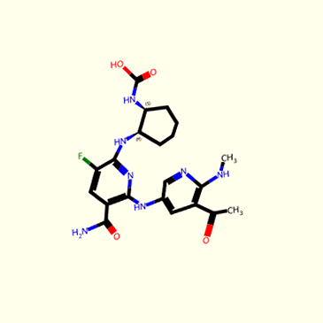 CNc1ncc(Nc2nc(N[C@@H]3CCCC[C@@H]3NC(=O)O)c(F)cc2C(N)=O)cc1C(C)=O